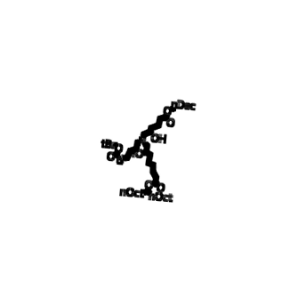 CCCCCCCCCCCOC(=O)CCCC(O)CN(CCCCN(C)C(=O)OC(C)(C)C)CC(O)CCCCCC(=O)OC(CCCCCCCC)CCCCCCCC